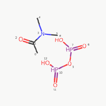 CC(=O)N(C)C.O=[PH](O)O[PH](=O)O